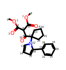 COC(=O)C(C(=O)OC)C(=O)C1(n2cccc2-c2ccccc2)CCCC1